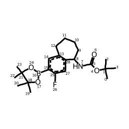 CC(C)(C)OC(=O)NC1CCCCc2cc(B3OC(C)(C)C(C)(C)O3)c(F)cc21